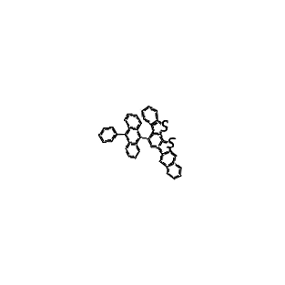 c1ccc(-c2c3ccccc3c(-c3cc4c5cc6ccccc6cc5sc4c4sc5ccccc5c34)c3ccccc23)cc1